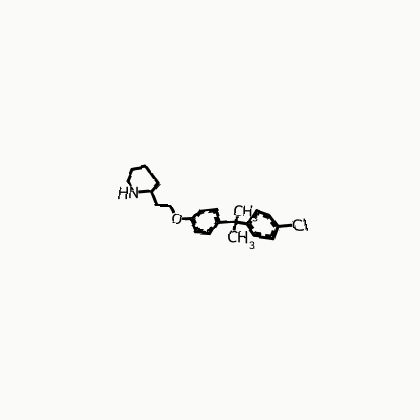 CC(C)(c1ccc(Cl)cc1)c1ccc(OCCC2CCCCN2)cc1